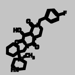 C[N+]1(C2(Cn3c(=O)c(O)c4n(c3=O)CCN(Cc3ccc(F)cc3)C4=O)CCCCC2)CCNCC1